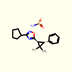 CC1(C)[C@@H](c2ccccc2)[C@@H]1c1nc(C2CCCC2)no1.N[SH](=O)=O